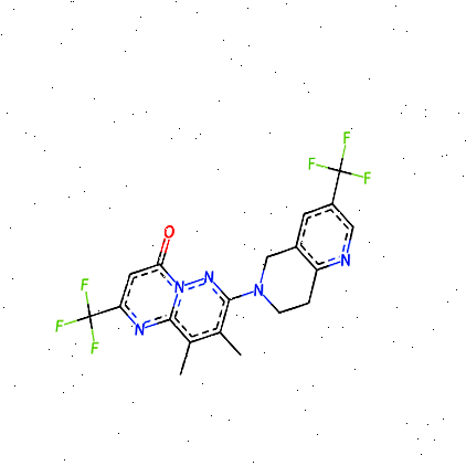 Cc1c(N2CCc3ncc(C(F)(F)F)cc3C2)nn2c(=O)cc(C(F)(F)F)nc2c1C